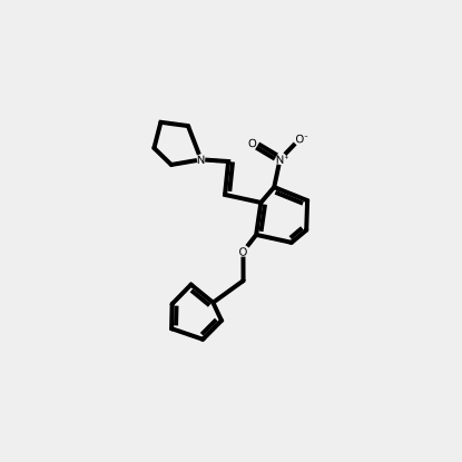 O=[N+]([O-])c1cccc(OCc2ccccc2)c1/C=C/N1CCCC1